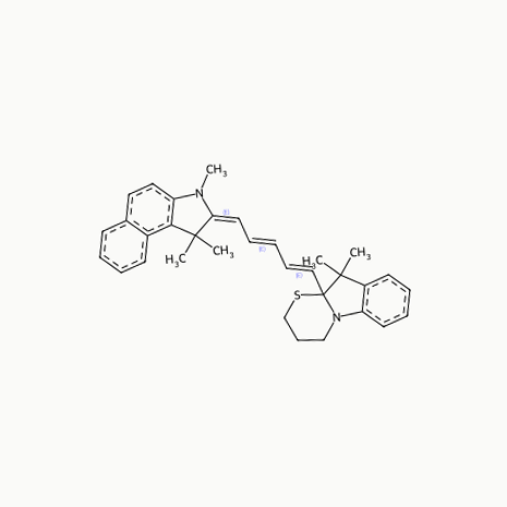 CN1/C(=C/C=C/C=C/C23SCCCN2c2ccccc2C3(C)C)C(C)(C)c2c1ccc1ccccc21